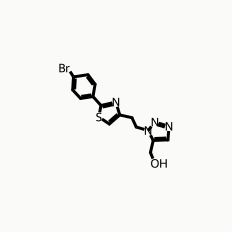 OCc1cnnn1CCc1csc(-c2ccc(Br)cc2)n1